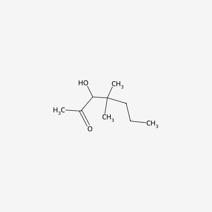 CCCC(C)(C)C(O)C(C)=O